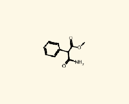 COC(=O)C(C(N)=O)c1ccccc1